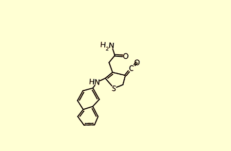 NC(=O)CC1=C(Nc2ccc3ccccc3c2)SCC1=C=O